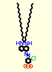 CCCCCCCCCCCCCCCCCC1(CCCCCCCCCCCCCCCCC)Nc2cccc3c(/N=N/c4ccc(S(C)(=O)=O)cc4Cl)ccc(c23)N1